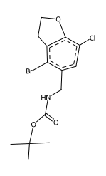 CC(C)(C)OC(=O)NCc1cc(Cl)c2c(c1Br)CCO2